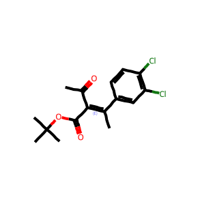 CC(=O)/C(C(=O)OC(C)(C)C)=C(/C)c1ccc(Cl)c(Cl)c1